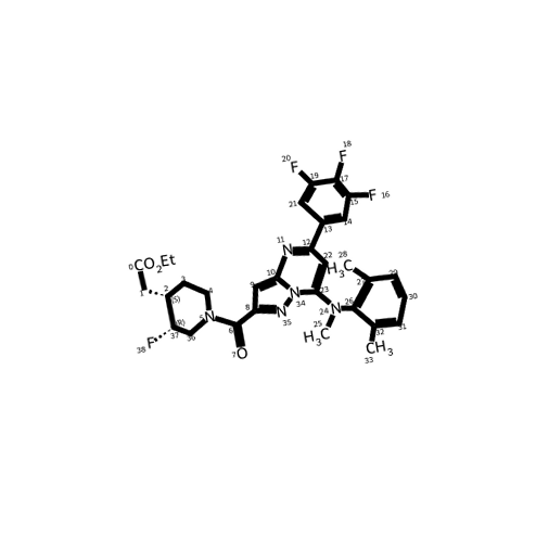 CCOC(=O)C[C@@H]1CCN(C(=O)c2cc3nc(-c4cc(F)c(F)c(F)c4)cc(N(C)c4c(C)cccc4C)n3n2)C[C@@H]1F